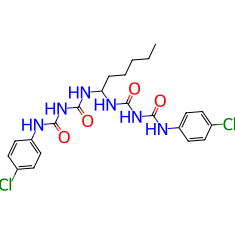 CCCCCC(NC(=O)NC(=O)Nc1ccc(Cl)cc1)NC(=O)NC(=O)Nc1ccc(Cl)cc1